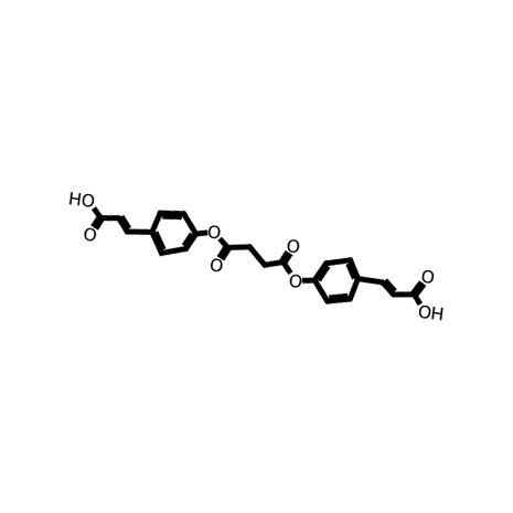 O=C(O)/C=C/c1ccc(OC(=O)CCC(=O)Oc2ccc(/C=C/C(=O)O)cc2)cc1